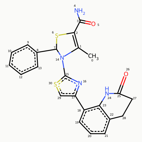 CC1=C(C(N)=O)SC(c2ccccc2)N1c1nc(-c2cccc3c2NC(=O)CC3)cs1